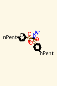 CCCCCc1ccc(S(=O)(=O)C(=[N+]=[N-])S(=O)(=O)c2ccc(CCCCC)cc2)cc1